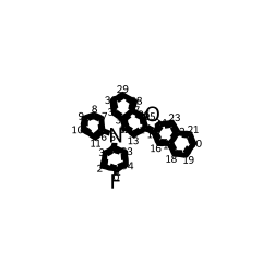 Fc1ccc(N(c2ccccc2)c2cc3c4cc5ccccc5cc4oc3c3ccccc23)cc1